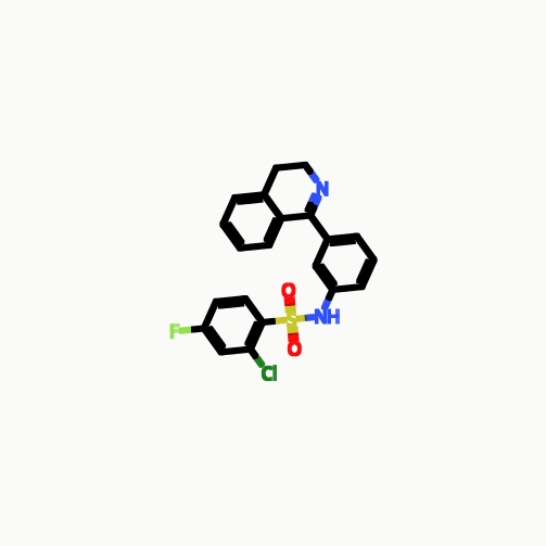 O=S(=O)(Nc1cccc(C2=NCCc3ccccc32)c1)c1ccc(F)cc1Cl